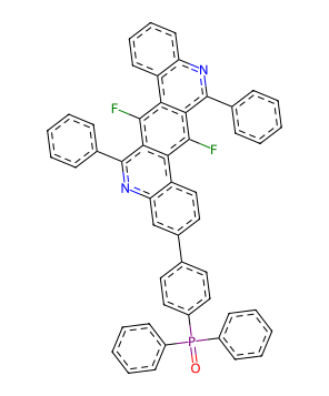 O=P(c1ccccc1)(c1ccccc1)c1ccc(-c2ccc3c(c2)nc(-c2ccccc2)c2c(F)c4c(c(-c5ccccc5)nc5ccccc54)c(F)c23)cc1